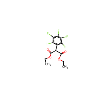 CCOC(=O)C(C(=O)OCC)c1c(F)c(F)c(F)c(F)c1F